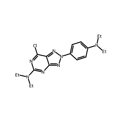 CCN(CC)c1ccc(-n2nc3nc(N(CC)CC)nc(Cl)c3n2)cc1